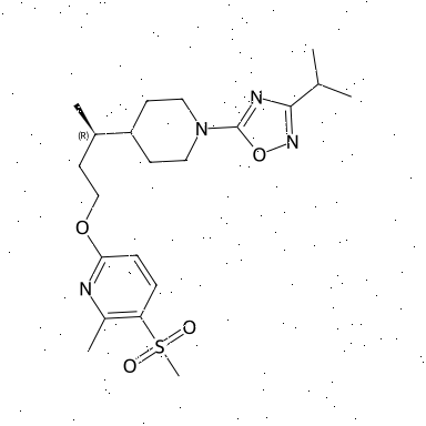 Cc1nc(OCC[C@@H](C)C2CCN(c3nc(C(C)C)no3)CC2)ccc1S(C)(=O)=O